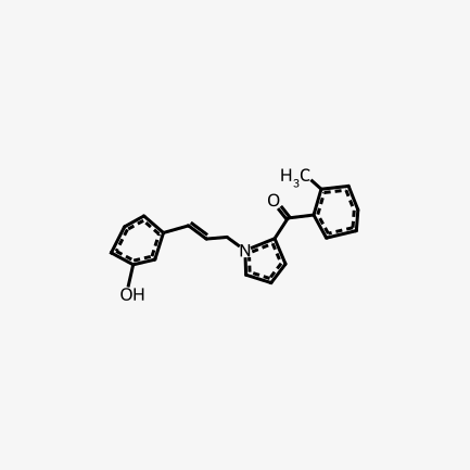 Cc1ccccc1C(=O)c1cccn1C/C=C/c1cccc(O)c1